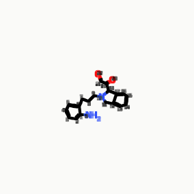 Nc1ccccc1CCCN1Cc2ccccc2C1C(=O)C=O